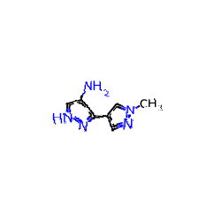 Cn1cc(-c2n[nH]cc2N)cn1